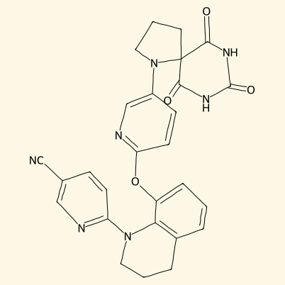 N#Cc1ccc(N2CCCc3cccc(Oc4ccc(N5CCCC56C(=O)NC(=O)NC6=O)cn4)c32)nc1